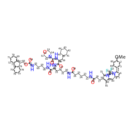 COc1ccc(-c2ccc3n2[B-](F)(F)[N+]2=C(C)C(CCC(=O)NCCCCCC(=O)NCCCC[C@H](NC(=O)[C@H](CC4CCCCC4)NC(=O)N4CCOCC4)C(=O)NCCCCNC(=O)OCC4c5ccccc5-c5ccccc54)=C(C)C2=C3)cc1